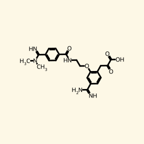 CN(C)C(=N)c1ccc(C(=O)NCCOc2cc(C(=N)N)ccc2CC(=O)C(=O)O)cc1